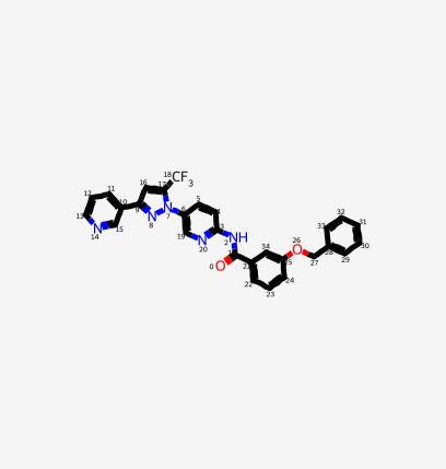 O=C(Nc1ccc(-n2nc(-c3cccnc3)cc2C(F)(F)F)cn1)c1cccc(OCc2ccccc2)c1